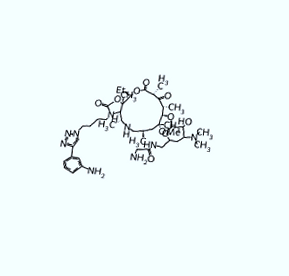 CC[C@H]1OC(=O)[C@H](C)C(=O)[C@H](C)[C@@H](O[C@@H]2OC(CNC(=O)CN)CC(N(C)C)C2O)[C@](C)(OC)C[C@@H](C)CN[C@H](C)[C@H]2N(CCCCn3cc(-c4cccc(N)c4)nn3)C(=O)O[C@]12C